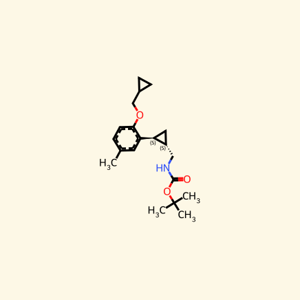 Cc1ccc(OCC2CC2)c([C@H]2C[C@@H]2CNC(=O)OC(C)(C)C)c1